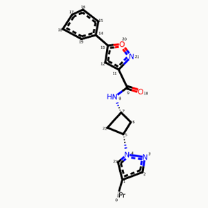 CC(C)c1cnn([C@H]2C[C@@H](NC(=O)c3cc(-c4ccccc4)on3)C2)c1